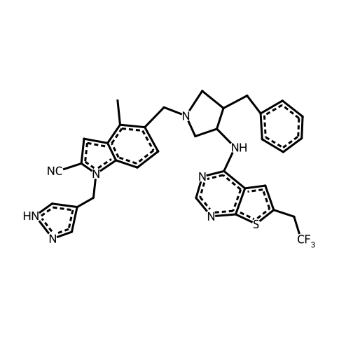 Cc1c(CN2CC(Cc3ccccc3)C(Nc3ncnc4sc(CC(F)(F)F)cc34)C2)ccc2c1cc(C#N)n2Cc1cn[nH]c1